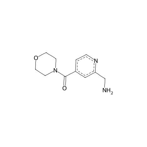 NCc1cc(C(=O)N2CCOCC2)ccn1